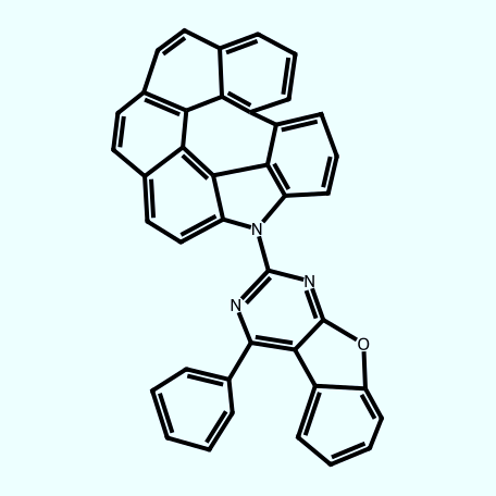 c1ccc(-c2nc(-n3c4cccc5c4c4c6c(ccc7ccc8cccc-5c8c76)ccc43)nc3oc4ccccc4c23)cc1